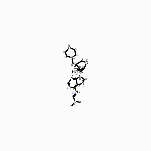 CN(C)/C=N/c1ncnc2c1ncn2[C@@H]1O[C@@]2(CN3CCOCC3)COC1C2O